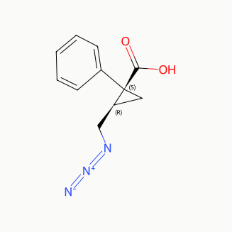 [N-]=[N+]=NC[C@@H]1C[C@@]1(C(=O)O)c1ccccc1